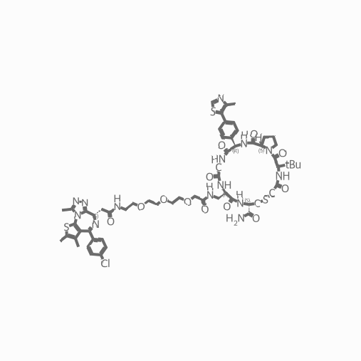 Cc1ncsc1-c1ccc([C@H]2NC(=O)[C@@H]3CCCN3C(=O)C(C(C)(C)C)NC(=O)CSC[C@H](C(N)=O)NC(=O)[C@@H](CNC(=O)COCCOCCOCCNC(=O)C[C@@H]3N=C(c4ccc(Cl)cc4)c4c(sc(C)c4C)-n4c(C)nnc43)NC(=O)CNC2=O)cc1